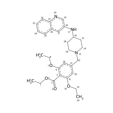 CCOC(=O)c1c(OCC)cc(CN2CCC(Nc3cnc4ccccc4c3)CC2)cc1OCC